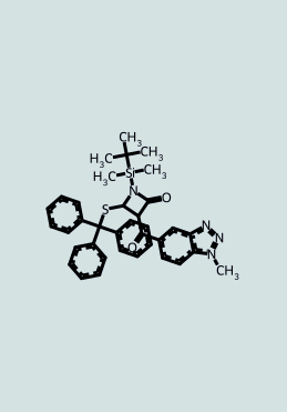 Cn1nnc2cc(C(=O)C3C(=O)N([Si](C)(C)C(C)(C)C)C3SC(c3ccccc3)(c3ccccc3)c3ccccc3)ccc21